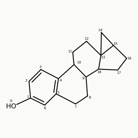 Oc1ccc2c(c1)CCC1C2CCC23CC2CCC13